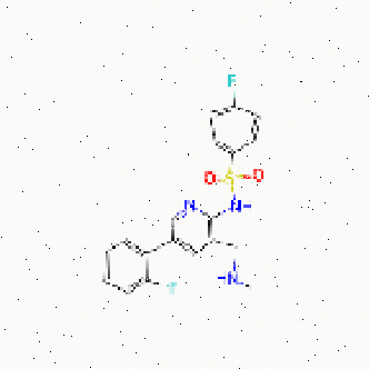 CNCc1cc(-c2ccccc2F)cnc1NS(=O)(=O)c1ccc(F)cc1